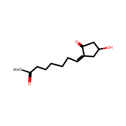 COC(=O)CCCCCC=C1CC(O)CC1=O